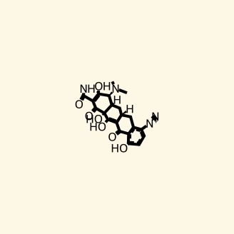 CN(C)[C@@H]1C(O)=C(C(N)=O)C(=O)[C@@]2(O)C(O)=C3C(=O)c4c(O)ccc([N+]#N)c4C[C@H]3C[C@@H]12